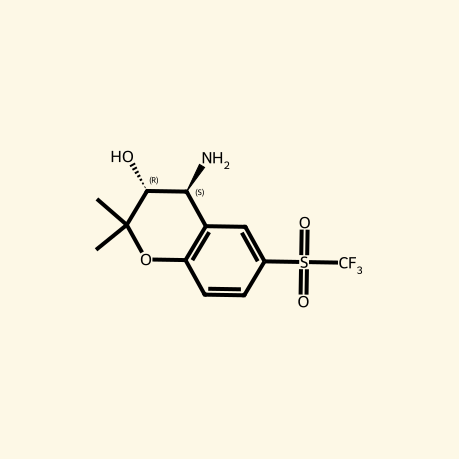 CC1(C)Oc2ccc(S(=O)(=O)C(F)(F)F)cc2[C@H](N)[C@H]1O